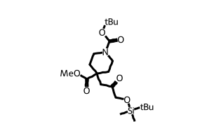 COC(=O)C1(CC(=O)CO[Si](C)(C)C(C)(C)C)CCN(C(=O)OC(C)(C)C)CC1